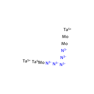 [Mo].[Mo].[Mo].[N-3].[N-3].[N-3].[N-3].[N-3].[Ta+5].[Ta+5].[Ta+5]